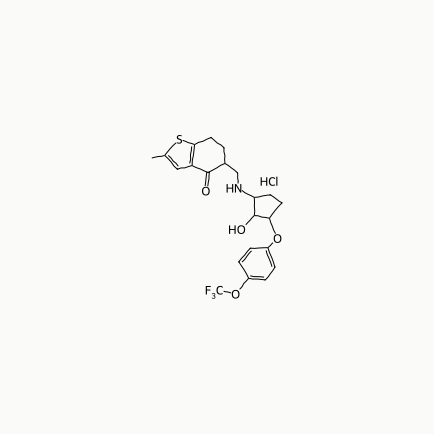 Cc1cc2c(s1)CCC(CNC1CCC(Oc3ccc(OC(F)(F)F)cc3)C1O)C2=O.Cl